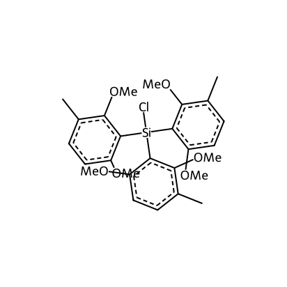 COc1ccc(C)c(OC)c1[Si](Cl)(c1c(OC)ccc(C)c1OC)c1c(OC)ccc(C)c1OC